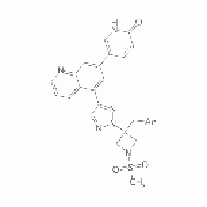 CC(=O)CC1(n2ncc(-c3cc(-c4ccc(=O)[nH]c4)cc4ncccc34)n2)CN(S(C)(=O)=O)C1